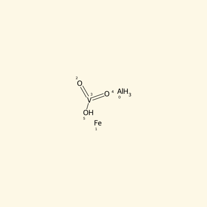 [AlH3].[Fe].[O]=[V](=[O])[OH]